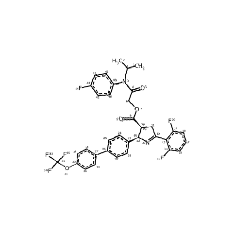 CC(C)N(C(=O)COC(=O)[C@H]1CC(c2c(F)cccc2F)=N[C@H]1c1ccc(-c2ccc(OC(F)(F)F)cc2)cc1)c1ccc(F)cc1